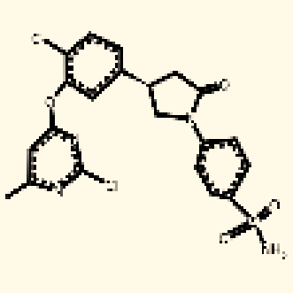 Cc1cc(Oc2cc([C@H]3CC(=O)N(c4ccc(S(N)(=O)=O)cc4)C3)ccc2Cl)nc(Cl)n1